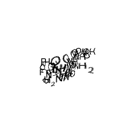 C[C@H](N)C(=O)N(C)[C@@H](C)C(=O)N[C@@H](CC(N)=O)C(=O)N[C@@H](CCN(C(=O)CO)[C@@H](c1cc(-c2cc(F)ccc2F)cn1Cc1ccccc1)C(C)(C)C)C(=O)NCCC(=O)N[C@H](CCC(=O)O)C(=O)O